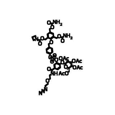 CC(=O)OC[C@@H]1O[C@H](Oc2ccc(C(=O)NCCOCCN=[N+]=[N-])cc2OS(=O)(=O)Oc2ccc(COc3c(COC(N)=O)cc(COC(N)=O)cc3COC(=O)N3CCC3)cc2)[C@@H](OC(C)=O)[C@H](OC(C)=O)[C@@H]1OC(C)=O